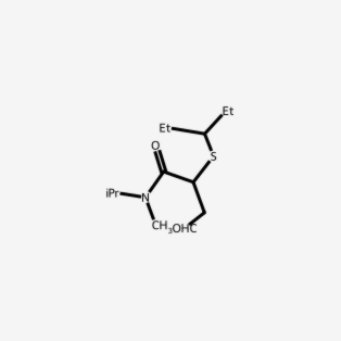 CCC(CC)SC(CC=O)C(=O)N(C)C(C)C